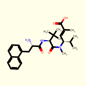 C/C(=C\[C@H](C(C)C)N(C)C(=O)[C@@H](NC(=O)[C@@H](N)Cc1cccc2ccccc12)C(C)(C)C)C(=O)O